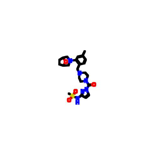 Cc1ccc(CN2CCN(C(=O)n3ccc(NS(C)(=O)=O)n3)CC2)c(N2CC3CCC(C2)O3)c1